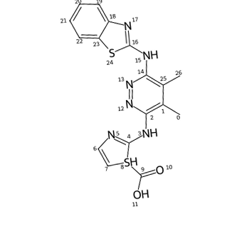 Cc1c(NC2=NC=C[SH]2C(=O)O)nnc(Nc2nc3ccccc3s2)c1C